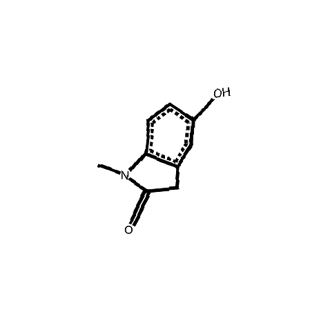 CN1C(=O)Cc2cc(O)ccc21